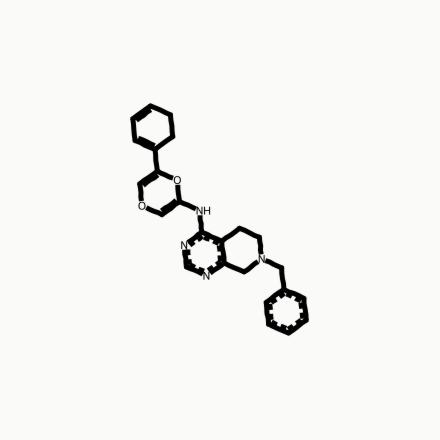 C1=CCCC(C2=COC=C(Nc3ncnc4c3CCN(Cc3ccccc3)C4)O2)=C1